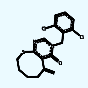 C=C1CCCCSc2ncn(Cc3c(Cl)cccc3Cl)c(=O)c21